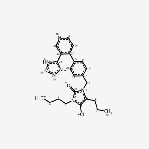 CCCCn1c(Cl)c(CCC)n(Cc2ccc(-c3ccncc3-c3nnn[nH]3)cc2)c1=O